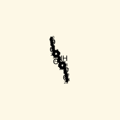 CCOCCOc1ccc(NC(=O)c2ccc(OCCOCC)cc2)cc1